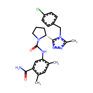 Cc1cc(C)c(C(N)=O)cc1NC(=O)N1CCC[C@@H]1c1nnc(C)n1Cc1ccc(Cl)cc1